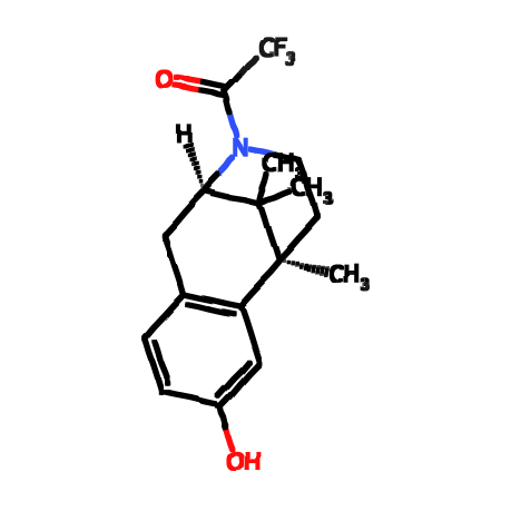 CC1(C)[C@H]2Cc3ccc(O)cc3[C@]1(C)CCN2C(=O)C(F)(F)F